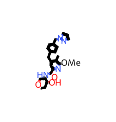 COc1nc(C(=O)N[C@H]2COCC[C@@H]2O)cc(Cc2ccc(Cn3cccn3)cc2)c1C